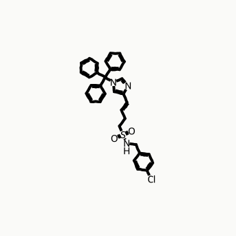 O=S(=O)(CCC=Cc1cn(C(c2ccccc2)(c2ccccc2)c2ccccc2)cn1)NCc1ccc(Cl)cc1